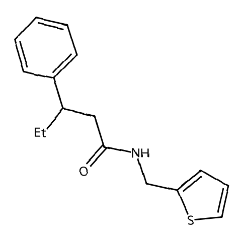 CCC(CC(=O)NCc1cccs1)c1ccccc1